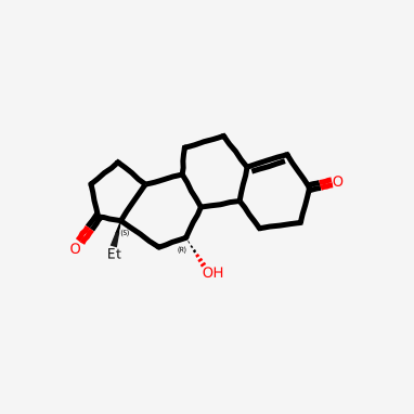 CC[C@]12C[C@@H](O)C3C4CCC(=O)C=C4CCC3C1CCC2=O